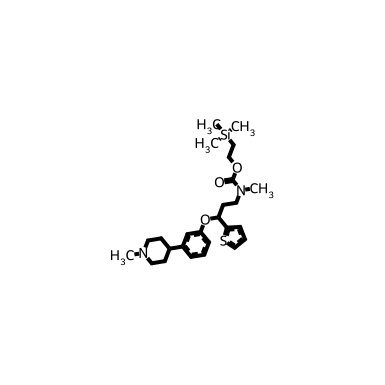 CN1CCC(c2cccc(OC(CCN(C)C(=O)OCC[Si](C)(C)C)c3cccs3)c2)CC1